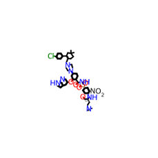 CN(C)CC[C@H]1COc2cc(S(=O)(=O)NC(=O)c3ccc(N4CCN(CC5=C(c6ccc(Cl)cc6)CC(C)(C)CC5)CC4)cc3Oc3cnc4[nH]ccc4c3)cc([N+](=O)[O-])c2N1